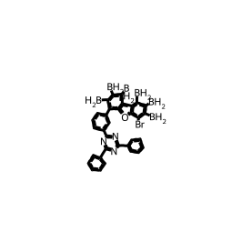 Bc1c(B)c(B)c2c(oc3c(-c4cccc(-c5nc(-c6ccccc6)nc(-c6ccccc6)n5)c4)c(B)c(B)c(B)c32)c1Br